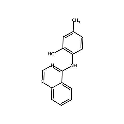 Cc1ccc(Nc2ncnc3ccccc23)c(O)c1